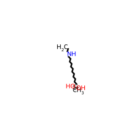 C=CCNCCCCCCCCCCCC[Si](C)(O)O